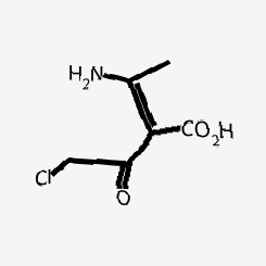 C/C(N)=C(\C(=O)O)C(=O)CCl